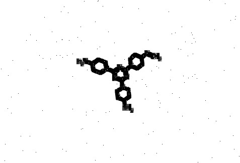 C=NC1CCN(c2nc(N3CCC(N)CC3)nc(N3CCC(N)CC3)n2)CC1